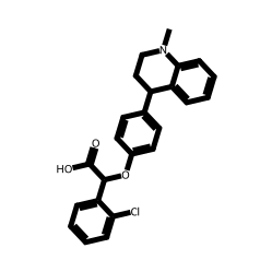 CN1CCC(c2ccc(OC(C(=O)O)c3ccccc3Cl)cc2)c2ccccc21